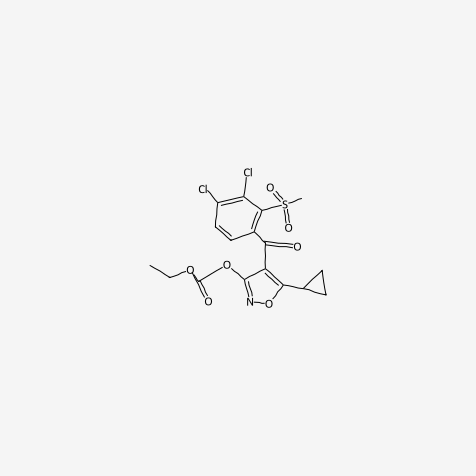 CCOC(=O)Oc1noc(C2CC2)c1C(=O)c1ccc(Cl)c(Cl)c1S(C)(=O)=O